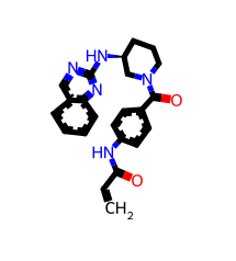 C=CC(=O)Nc1ccc(C(=O)N2CCC[C@H](Nc3ncc4ccccc4n3)C2)cc1